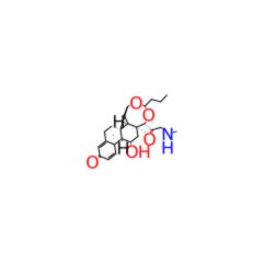 CCCC1OC2C[C@H]3[C@](C)(C[C@H](O)[C@@H]4[C@@]23CCC2=CC(=O)C=C[C@@]24C)[C@@H](C(=O)CNC)O1